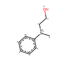 C[SiH](CCO)c1ccccc1